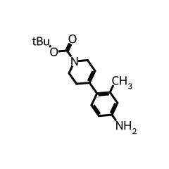 Cc1cc(N)ccc1C1=CCN(C(=O)OC(C)(C)C)CC1